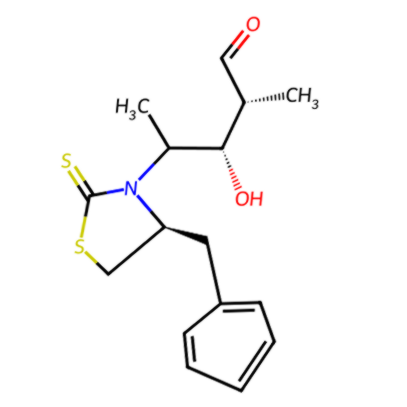 CC([C@@H](O)[C@@H](C)C=O)N1C(=S)SC[C@@H]1Cc1ccccc1